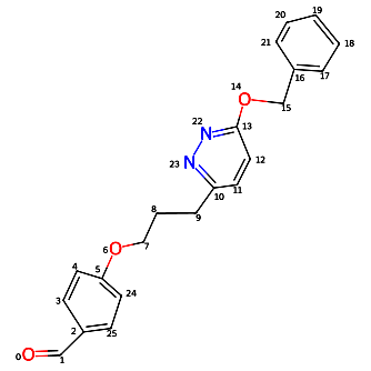 O=Cc1ccc(OCCCc2ccc(OCc3ccccc3)nn2)cc1